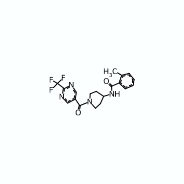 Cc1ccccc1C(=O)NC1CCN(C(=O)c2cnc(C(F)(F)F)nc2)CC1